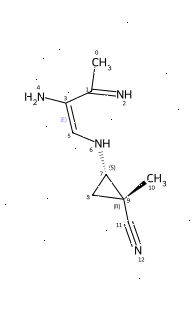 CC(=N)/C(N)=C\N[C@H]1C[C@@]1(C)C#N